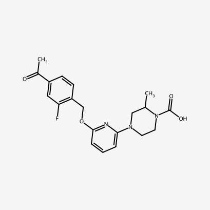 CC(=O)c1ccc(COc2cccc(N3CCN(C(=O)O)C(C)C3)n2)c(F)c1